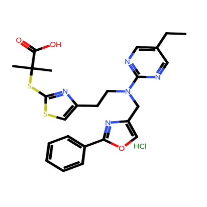 CCc1cnc(N(CCc2csc(SC(C)(C)C(=O)O)n2)Cc2coc(-c3ccccc3)n2)nc1.Cl